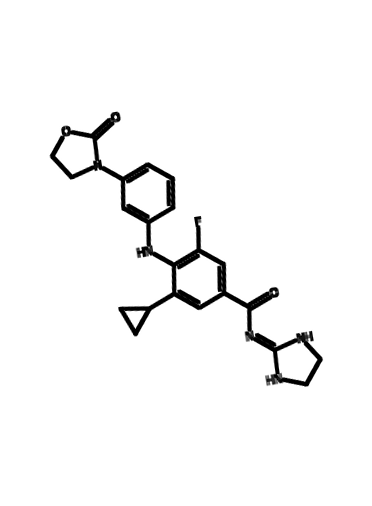 O=C(N=C1NCCN1)c1cc(F)c(Nc2cccc(N3CCOC3=O)c2)c(C2CC2)c1